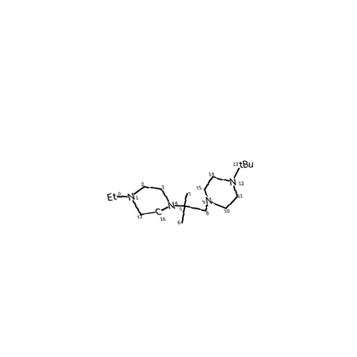 CCN1CCN(C(C)(C)CN2CCN(C(C)(C)C)CC2)CC1